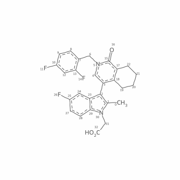 Cc1c(-c2cn(Cc3ccc(F)cc3F)c(=O)c3c2CCCC3)c2cc(F)ccc2n1CC(=O)O